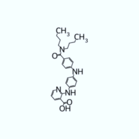 CCCCN(CCCC)C(=O)c1ccc(Nc2ccc(Nc3ncccc3C(=O)O)cc2)cc1